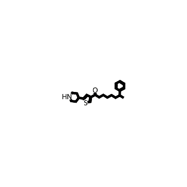 CC(CCCCCC(=O)c1csc(C2CCNCC2)c1)c1ccccc1